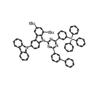 CC(C)(C)c1cc(C(C)(C)C)c2c(c1)c1cc(-n3c4ccccc4c4ccccc43)ccc1n2-c1nc(-c2cccc(-c3ccccc3)c2)nc(-c2cccc(S(c3ccccc3)(c3ccccc3)c3ccccc3)c2)n1